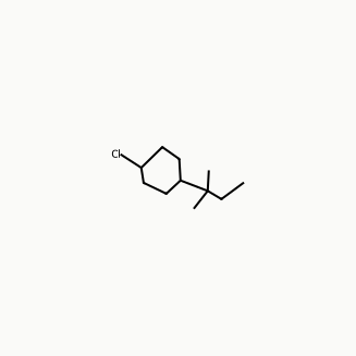 CCC(C)(C)C1CCC(Cl)CC1